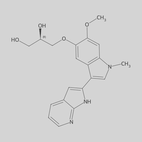 COc1cc2c(cc1OC[C@H](O)CO)c(-c1cc3cccnc3[nH]1)cn2C